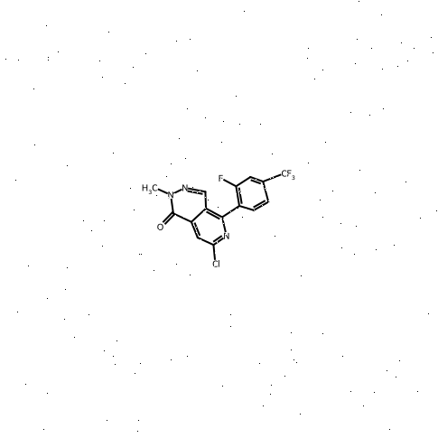 Cn1ncc2c(-c3ccc(C(F)(F)F)cc3F)nc(Cl)cc2c1=O